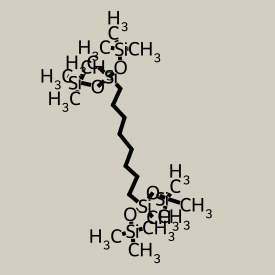 C[Si](C)(C)O[Si](C)(CCCCCCCC[Si](C)(O[Si](C)(C)C)O[Si](C)(C)C)O[Si](C)(C)C